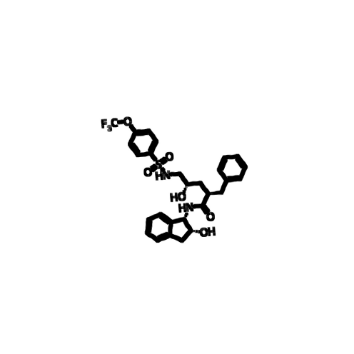 O=C(N[C@H]1c2ccccc2C[C@H]1O)[C@H](Cc1ccccc1)C[C@H](O)CNS(=O)(=O)c1ccc(OC(F)(F)F)cc1